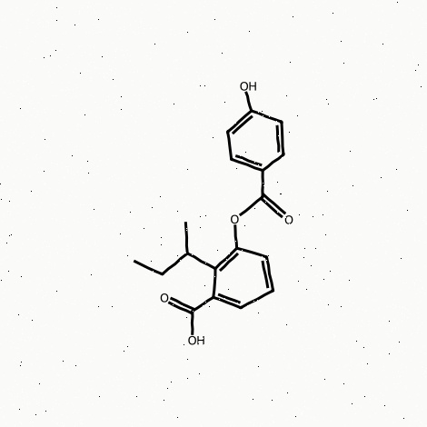 CCC(C)c1c(OC(=O)c2ccc(O)cc2)cccc1C(=O)O